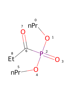 CCCOP(=O)(OCCC)C(=O)CC